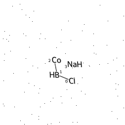 Cl[BH][Co].[NaH]